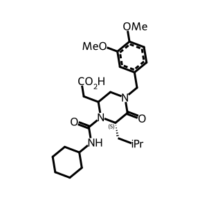 COc1ccc(CN2CC(CC(=O)O)N(C(=O)NC3CCCCC3)[C@@H](CC(C)C)C2=O)cc1OC